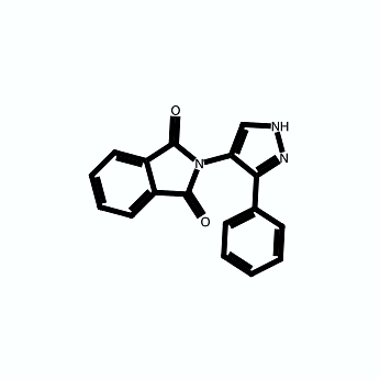 O=C1c2ccccc2C(=O)N1c1c[nH]nc1-c1ccccc1